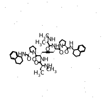 CC[C@H](NC)C(=O)N[C@@H](CC#CC[C@H](NC(=O)[C@H](C)NC)C(=O)N1CCC[C@H]1C(=O)N[C@@H]1CCCc2ccccc21)C(=O)N1CCC[C@H]1C(=O)N[C@@H]1CCCc2ccccc21